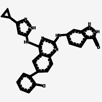 O=c1[nH][nH]c2cc(Nc3nc(Nc4cc(C5CC5)n[nH]4)c4cc(-c5ccccc5Cl)ccc4n3)ccc12